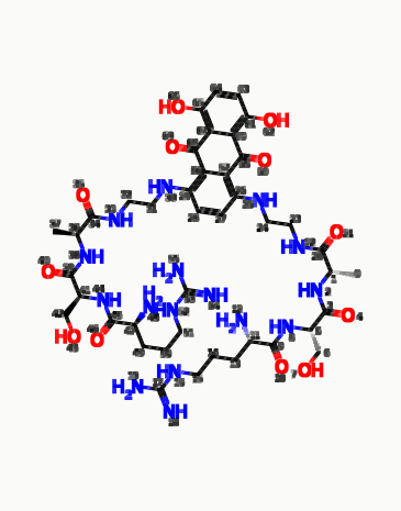 C[C@H](NC(=O)[C@H](CO)NC(=O)[C@@H](N)CCCNC(=N)N)C(=O)NCCNc1ccc(NCCNC(=O)[C@H](C)NC(=O)[C@H](CO)NC(=O)[C@@H](N)CCCNC(=N)N)c2c1C(=O)c1c(O)ccc(O)c1C2=O